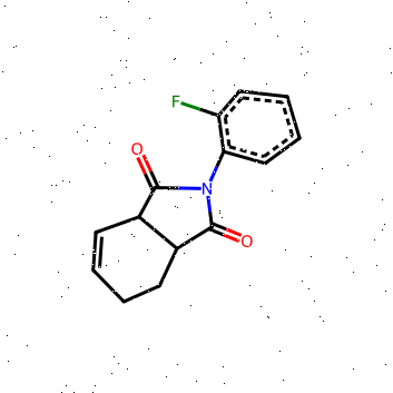 O=C1C2C=CCCC2C(=O)N1c1ccccc1F